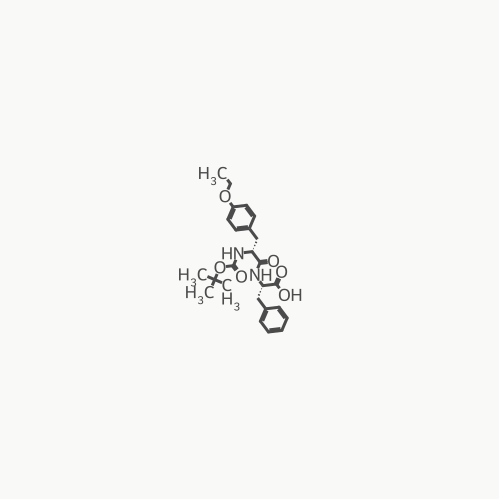 CCOc1ccc(C[C@@H](NC(=O)OC(C)(C)C)C(=O)N[C@@H](Cc2ccccc2)C(=O)O)cc1